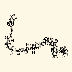 CCC(CC)Sc1ncc(C#CCCCC(=O)NCC(C)(C)COCC(C)(C)CNC(=O)COCC(=O)NCC(=O)Nc2ccc(COC(=O)O[C@@H]3C(=O)OCc4c3cc3n(c4=O)Cc4c-3nc3ccccc3c4CCN(C(C)C)S(C)(=O)=O)cc2)cn1